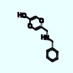 OC1=COC(CNCc2ccccc2)=CO1